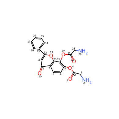 NCC(=O)Oc1ccc2c(=O)cc(-c3ccccc3)oc2c1OC(=O)CN